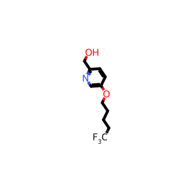 OCc1ccc(OCCCCC(F)(F)F)cn1